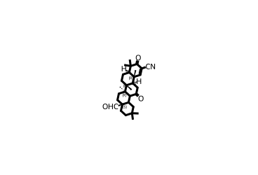 CC1(C)CC[C@]2(C=O)CC[C@]3(C)C(C(=O)C[C@@H]4[C@@]5(C)C=C(C#N)C(=O)C(C)(C)[C@@H]5CC[C@]43C)C2C1